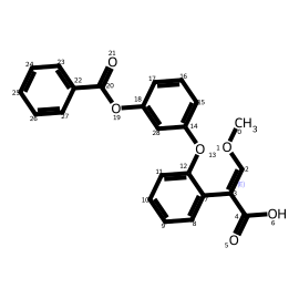 CO/C=C(/C(=O)O)c1ccccc1Oc1cccc(OC(=O)c2ccccc2)c1